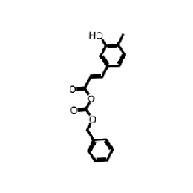 Cc1ccc(/C=C/C(=O)OC(=O)OCc2ccccc2)cc1O